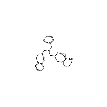 O=C1NCCCN1CC(O)CN(Cc1ccccc1)CC1CCc2ccccc2O1